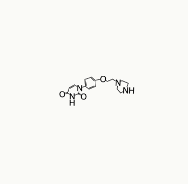 O=c1ccn(-c2ccc(OCCN3CCNCC3)cc2)c(=O)[nH]1